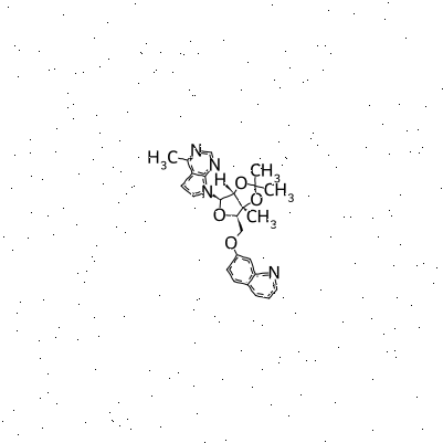 Cc1ncnc2c1ccn2[C@@H]1O[C@H](COc2ccc3cccnc3c2)[C@@]2(C)OC(C)(C)O[C@@H]12